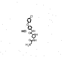 Cl.Cl.NCC(=O)N[C@H]1CN[C@H](C(=O)Nc2ccc(Oc3ccc(Cl)cc3)cc2)C1